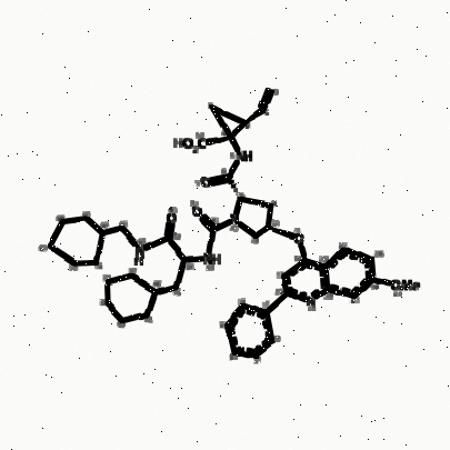 C=C[C@@H]1C[C@]1(NC(=O)[C@@H]1C[C@@H](Oc2cc(-c3ccccc3)nc3cc(OC)ccc23)CN1C(=O)NC(CC1CCCCC1)C(=O)NCC1CCCCC1)C(=O)O